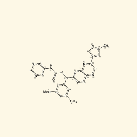 COc1cc(OC)cc(N(CC(=O)Nc2cccnc2)c2ccc3ncc(-c4cnn(C)c4)nc3c2)c1